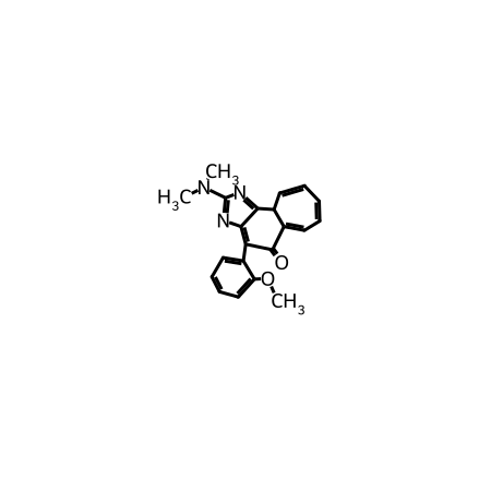 COc1ccccc1C1=C2N=C(N(C)C)N=C2C2C=CC=CC=C2C1=O